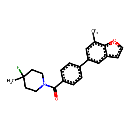 CC1(F)CCN(C(=O)c2ccc(-c3cc(C(F)(F)F)c4occc4c3)cc2)CC1